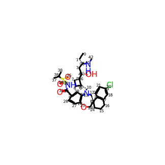 CC[C@@H](C[C@H](O)[C@@H]1CC[C@H]1CN1C[C@@]2(CCCc3cc(Cl)ccc32)COc2ccc(C(=O)NS(=O)(=O)C(C)C)cc21)NC